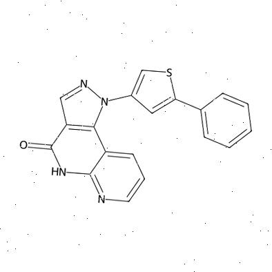 O=c1[nH]c2ncccc2c2c1cnn2-c1csc(-c2ccccc2)c1